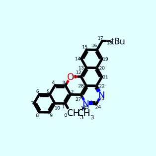 Cc1c2c(cc3ccccc13)Oc1c3ccc(CC(C)(C)C)cc3cc3nc[n+](C)c-2c13